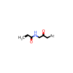 C=CC(=O)NCC(=O)CC(C)=O